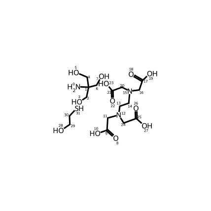 NC(CO)(CO)CO.O=C(O)CN(CCN(CC(=O)O)CC(=O)O)CC(=O)O.OCCS